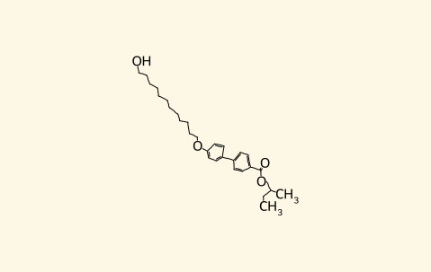 CCC(C)COC(=O)c1ccc(-c2ccc(OCCCCCCCCCCCCO)cc2)cc1